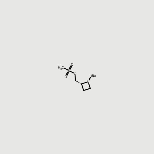 CC(C)(C)N1CC[C@@H]1COS(C)(=O)=O